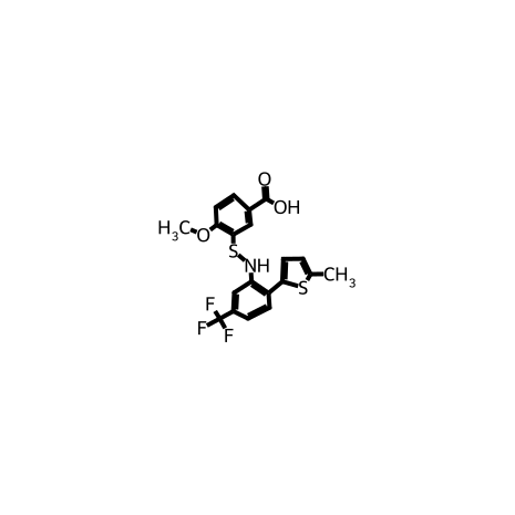 COc1ccc(C(=O)O)cc1SNc1cc(C(F)(F)F)ccc1-c1ccc(C)s1